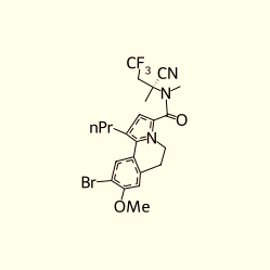 CCCc1cc(C(=O)N(C)[C@](C)(C#N)CC(F)(F)F)n2c1-c1cc(Br)c(OC)cc1CC2